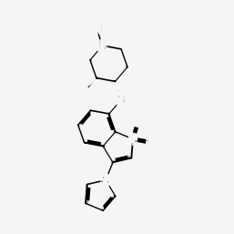 CN1CC[C@H](Nc2cccc3c2S(=O)(=O)C=C3n2cccc2)[C@@H](F)C1